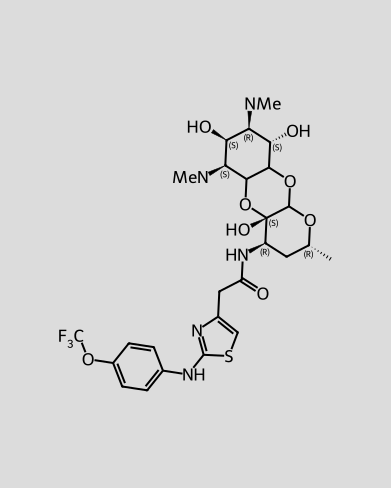 CN[C@@H]1[C@H](O)[C@H](NC)C2O[C@]3(O)C(OC2[C@H]1O)O[C@H](C)C[C@H]3NC(=O)Cc1csc(Nc2ccc(OC(F)(F)F)cc2)n1